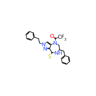 O=C(N1CC(Cc2ccccc2)NC(=S)c2nn(CCc3ccccc3)cc21)C(F)(F)F